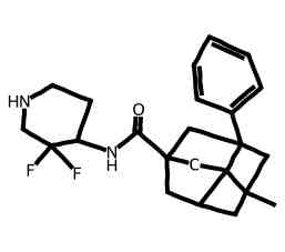 CC12CC3CC4(C(=O)NC5CCNCC5(F)F)CC(c5ccccc5)(C1)C32C4